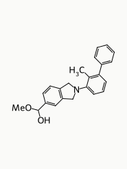 COC(O)c1ccc2c(c1)CN(c1cccc(-c3ccccc3)c1C)C2